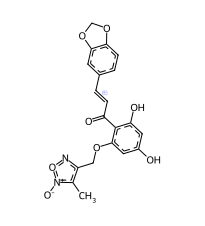 Cc1c(COc2cc(O)cc(O)c2C(=O)/C=C/c2ccc3c(c2)OCO3)no[n+]1[O-]